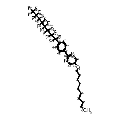 CCCCCCCCCCOc1cnc(-c2ccc(C(F)(F)C(F)(F)C(F)(F)C(F)(F)C(F)(F)C(F)(F)C(F)(F)C(F)(F)F)cc2)nc1